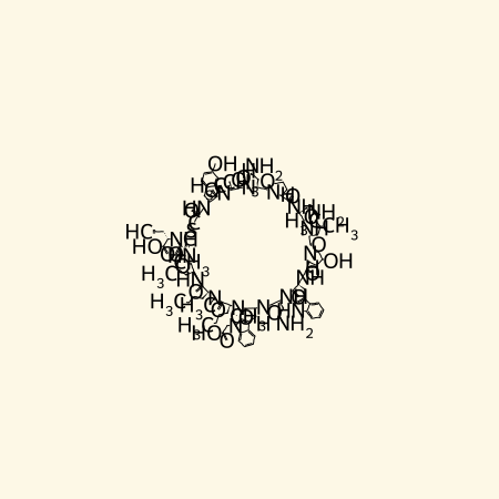 C#CC[C@H](NC(=O)[C@@H]1CSCC(=O)N[C@@H](Cc2ccc(O)cc2)C(=O)N(C)[C@@H](C)C(=O)N[C@@H](CC(N)=O)C(=O)N2CCC[C@H]2C(=O)N[C@@H](CN)C(=O)N[C@@H](CC(C)C)C(=O)N2C[C@H](O)C[C@H]2C(=O)N[C@@H](Cc2c[nH]c3ccccc23)C(=O)N[C@@H](CCN)C(=O)N[C@@H](Cc2cn(CC(=O)O)c3ccccc23)C(=O)N(C)[C@@H](CCCC)C(=O)N(C)[C@@H](CCCC)C(=O)N[C@@H](CC(C)C)C(=O)N1)C(=O)O